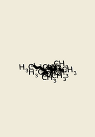 CCCCC(C)(C)C(C)(CC)OC(C)C(=O)C(C)(CC)OCC